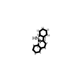 C1CCC2C(C1)CCC1C3CCCCC3NN21